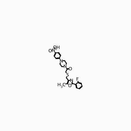 Cc1oc(-c2ccccc2F)nc1CSCC(=O)N1CCN(c2ccc([N+](=O)O)cc2)CC1